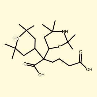 CC1(C)CC(C(CCCC(=O)O)(C(=O)O)C2CC(C)(C)NC(C)(C)C2)CC(C)(C)N1